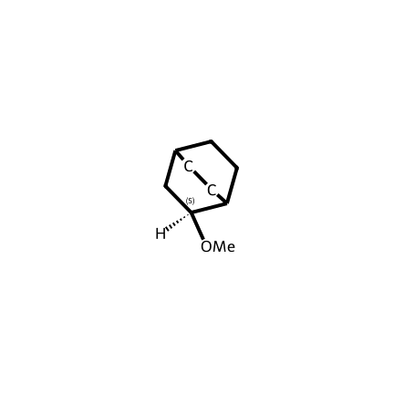 CO[C@H]1CC2CCC1CC2